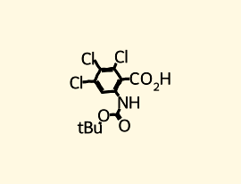 CC(C)(C)OC(=O)Nc1cc(Cl)c(Cl)c(Cl)c1C(=O)O